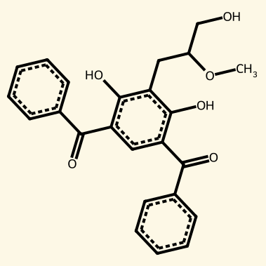 COC(CO)Cc1c(O)c(C(=O)c2ccccc2)cc(C(=O)c2ccccc2)c1O